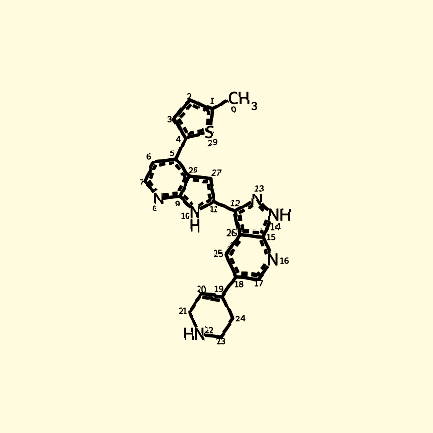 Cc1ccc(-c2ccnc3[nH]c(-c4n[nH]c5ncc(C6=CCNCC6)cc45)cc23)s1